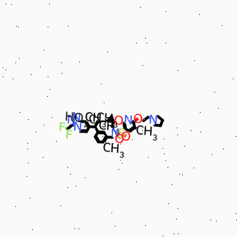 Cc1ccc(C(c2ccn3c(C(F)F)nnc3c2C)C(C)(C)C(=O)O)cc1CN1CC2(CC2)Oc2nc(OCCN3CCCC3)c(C)cc2S1(=O)=O